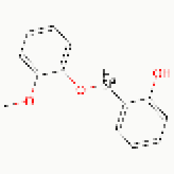 COc1ccccc1O[SiH2]c1ccccc1O